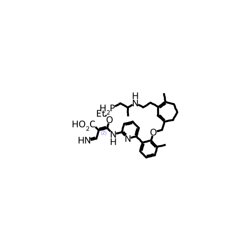 CCO/C(Nc1cccc(-c2cccc(C)c2OCC2=CC(CCNC(C)CP)=C(C)CCC2)n1)=C(/C=N)C(=O)O